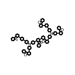 c1cc(-c2ccc(N(c3ccc(-c4cccc5oc6ccccc6c45)cc3)c3ccc(-c4cccc5oc6c(-c7ccc(-c8ccc(N(c9ccc(-c%10ccc(-c%11cccc%12c%11sc%11ccccc%11%12)cc%10)cc9)c9ccc(-c%10cccc%11oc%12ccccc%12c%10%11)cc9)cc8)c8c7oc7ccccc78)cccc6c45)cc3)cc2)cc(-c2cccc3oc4ccccc4c23)c1